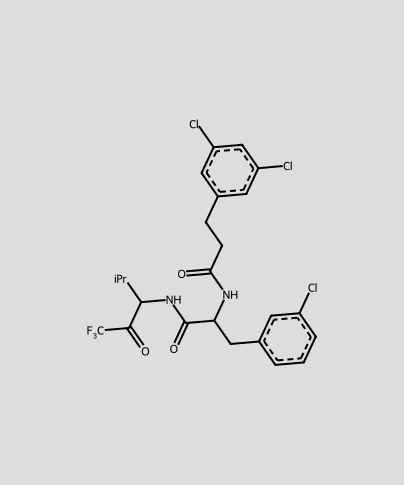 CC(C)C(NC(=O)C(Cc1cccc(Cl)c1)NC(=O)CCc1cc(Cl)cc(Cl)c1)C(=O)C(F)(F)F